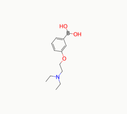 CCN(CC)CCOc1cccc(B(O)O)c1